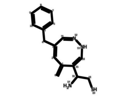 C=C1/C=C(Cc2ccccc2)\C=N/N/C=C\1C(N)CS